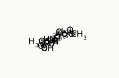 COC(=O)c1ccc(-c2cc3nc(Oc4ccc(C)c(C(=O)O)c4)[nH]c3cc2Cl)cc1